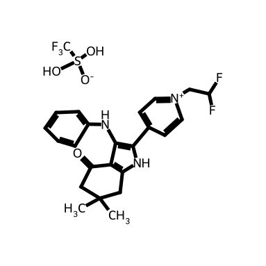 CC1(C)CC(=O)c2c([nH]c(-c3cc[n+](CC(F)F)cc3)c2Nc2ccccc2)C1.[O-]S(O)(O)C(F)(F)F